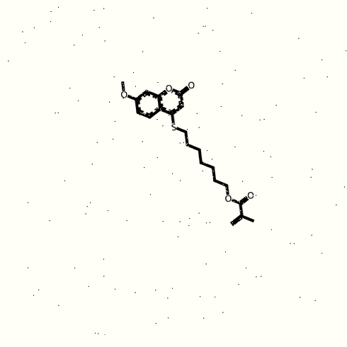 C=C(C)C(=O)OCCCCCCCSc1cc(=O)oc2cc(OC)ccc12